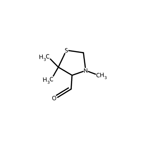 CN1CSC(C)(C)C1C=O